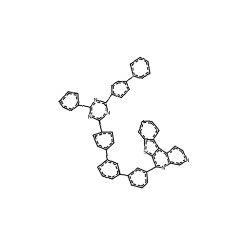 c1ccc(-c2ccc(-c3nc(-c4ccccc4)nc(-c4ccc(-c5cccc(-c6cccc(-c7nc8cnccc8c8c7sc7ccccc78)c6)c5)cc4)n3)cc2)cc1